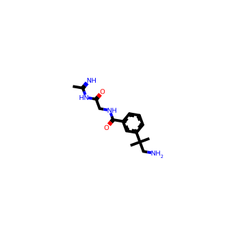 CC(=N)NC(=O)CNC(=O)c1cccc(C(C)(C)CN)c1